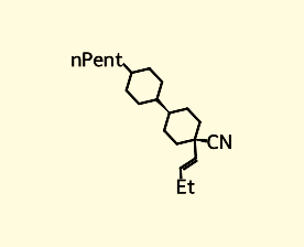 CCC=C[C@]1(C#N)CC[C@@H](C2CCC(CCCCC)CC2)CC1